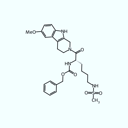 COc1ccc2[nH]c3c(c2c1)CCN(C(=O)[C@H](CCCCNS(C)(=O)=O)NC(=O)OCc1ccccc1)C3